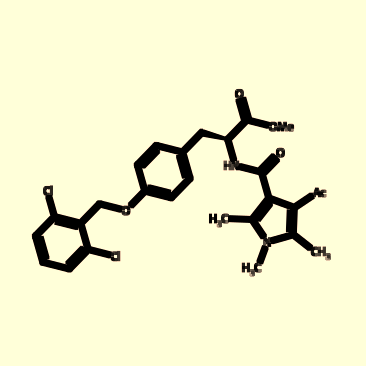 COC(=O)[C@H](Cc1ccc(OCc2c(Cl)cccc2Cl)cc1)NC(=O)c1c(C(C)=O)c(C)n(C)c1C